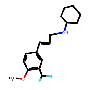 COc1ccc(C=CCNC2CCCCC2)cc1C(F)F